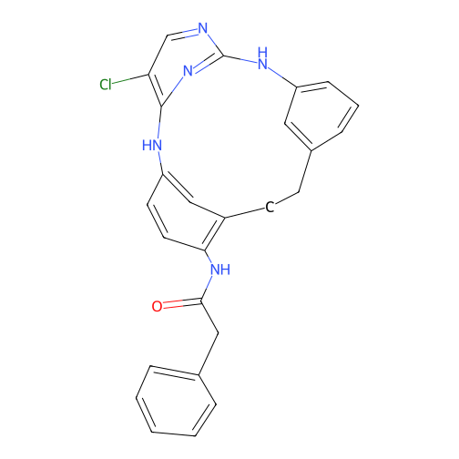 O=C(Cc1ccccc1)Nc1ccc2cc1CCc1cccc(c1)Nc1ncc(Cl)c(n1)N2